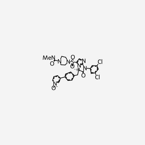 CNC(=O)N1CCN(S(=O)(=O)c2cnc3n2[C@](C)(Cc2ccc(-c4ccc[n+]([O-])c4)cc2)C(=O)N3c2cc(Cl)cc(Cl)c2)CC1